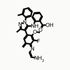 C=C1C=C(c2c(C)nn(-c3ccccc3C)c2Nc2ccccc2C(=O)O)C(OC)=C(F)/C1=N/C=C\N